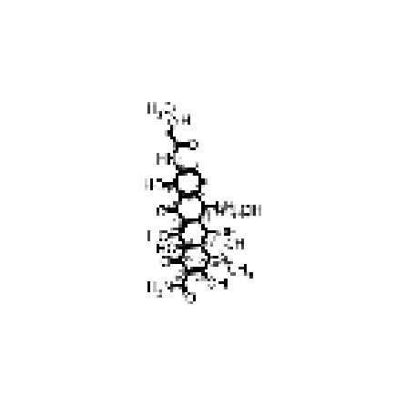 CNCC(=O)Nc1ccc2c(c1O)C(=O)C1=C(O)C3(O)C(=O)C(C(N)=O)=C(O)[C@@H](N(C)C)C3C(O)C1C2C.Cl.Cl